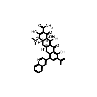 C=C(C)c1cc(-c2cnc3ccccc3c2)c2c(c1O)C(=O)C1=C(O)[C@]3(O)C(=O)C(C(N)=O)=C(O)[C@@H](N(C)C)[C@@H]3C[C@@H]1C2